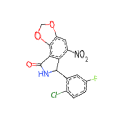 O=C1NC(c2cc(F)ccc2Cl)c2c([N+](=O)[O-])cc3c(c21)OCO3